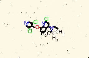 C=C(C)N(/C=C\C)c1cc(Cl)nc2c(OCc3c(Cl)cncc3Cl)cccc12